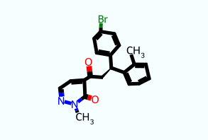 Cc1ccccc1[C@@H](CC(=O)c1ccnn(C)c1=O)c1ccc(Br)cc1